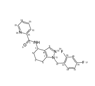 O=C(NC1CCCc2c1cnn2Cc1ccc(F)cc1F)c1ccccn1